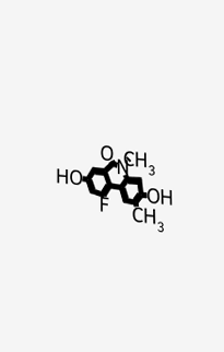 Cc1cc2c3c(F)cc(O)cc3c(=O)n(C)c2cc1O